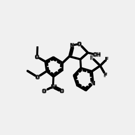 COc1cc(C2=NOC(O)C2c2cccnc2C(F)(F)F)cc([N+](=O)[O-])c1OC